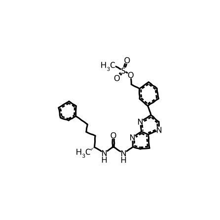 C[C@H](CCCc1ccccc1)NC(=O)Nc1ccc2ncc(-c3cccc(COS(C)(=O)=O)c3)nc2n1